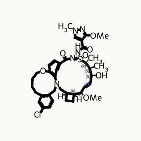 COc1nn(C)cc1C(=O)NS1(=O)=NC(=O)c2ccc3c(c2)N(Cc2ccc(Cl)cc2CCCCO3)C[C@@H]2CC[C@H]2[C@@H](OC)/C=C/[C@H](O)[C@H](C)[C@H]1C